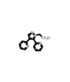 CCOC(=O)Cn1ncc(-c2ccccn2)c1-c1ccccn1